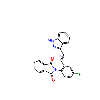 O=C1c2ccccc2C(=O)N1c1ccc(F)cc1/C=C/c1n[nH]c2ccccc12